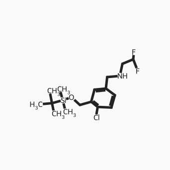 CC(C)(C)[Si](C)(C)OCc1cc(CNCC(F)F)ccc1Cl